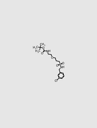 CC(C)(C)OC(=O)NCCOCCCS(=O)(=O)NCc1cccc(Cl)c1